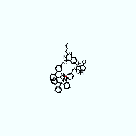 CCCCc1nc(OCc2ccc(-c3ccccc3-c3nnnn3C(c3ccccc3)(c3ccccc3)c3ccccc3)cc2)c2cc([C@H]3[C@H]4C(=O)CC[C@H]4ON3Cc3ccccc3)ccc2n1